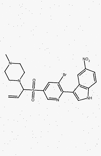 C=CC(N1CCN(C)CC1)S(=O)(=O)c1cnc(-c2c[nH]c3ccc([N+](=O)[O-])cc23)c(Br)c1